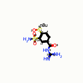 CCCC[S+]([O-])c1ccc(C(=O)NC(=N)N)cc1S(N)(=O)=O